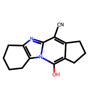 N#Cc1c2c(c(O)n3c4c(nc13)CCCC4)CCC2